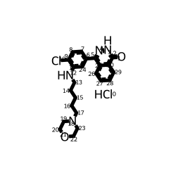 Cl.O=c1[nH]nc(-c2ccc(Cl)c(NCCCCCN3CCOCC3)c2)c2ccccc12